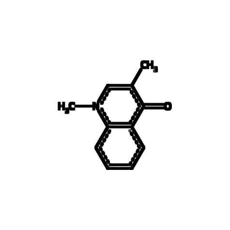 Cc1cn(C)c2ccccc2c1=O